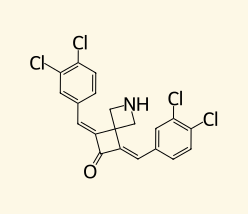 O=C1/C(=C/c2ccc(Cl)c(Cl)c2)C2(CNC2)/C1=C\c1ccc(Cl)c(Cl)c1